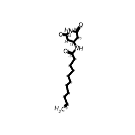 C=CCCCCCCCCC(=O)NC1CC(=O)NC(=O)C1